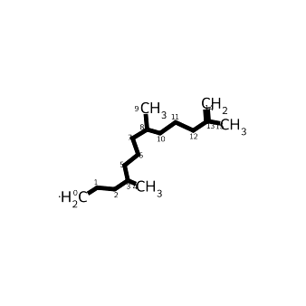 [CH2]CCC(C)CCCC(C)CCCC(=C)C